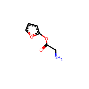 NCC(=O)Oc1ccco1